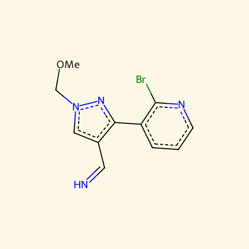 COCn1cc(C=N)c(-c2cccnc2Br)n1